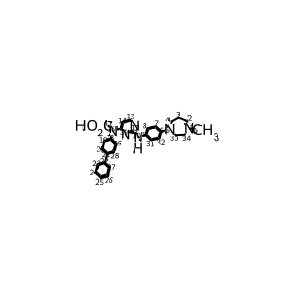 CN1CCCN(c2ccc(Nc3nccc(N(C(=O)O)c4ccc(-c5ccccc5)cc4)n3)cc2)CC1